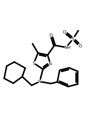 Cc1sc(N(Cc2ccccc2)CC2CCCCC2)nc1C(=O)NS(C)(=O)=O